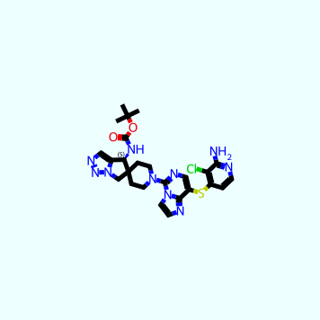 CC(C)(C)OC(=O)N[C@@H]1c2cnnn2CC12CCN(c1ncc(Sc3ccnc(N)c3Cl)c3nccn13)CC2